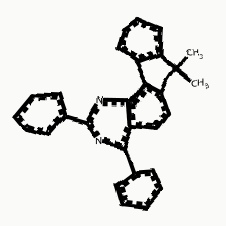 CC1(C)c2ccccc2-c2c1ccc1c(-c3ccccc3)nc(-c3ccccc3)nc21